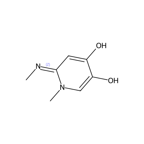 C/N=c1/cc(O)c(O)cn1C